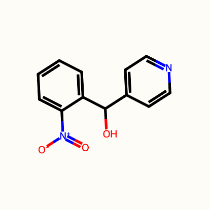 O=[N+]([O-])c1ccccc1C(O)c1ccncc1